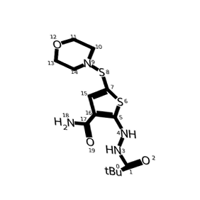 CC(C)(C)C(=O)NNc1sc(SN2CCOCC2)cc1C(N)=O